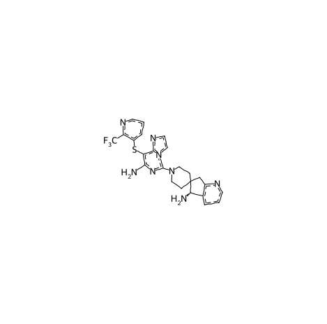 Nc1nc(N2CCC3(CC2)Cc2ncccc2[C@H]3N)n2ccnc2c1Sc1cccnc1C(F)(F)F